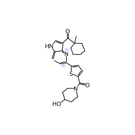 C=C1NC=C(C(=O)C2(C)CCCCC2)/C1=N/C(=C\C)c1ccc(C(=O)N2CCC(O)CC2)s1